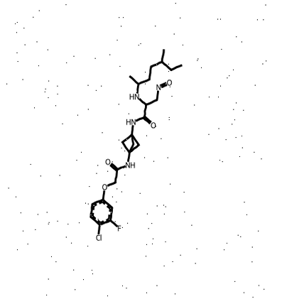 CCC(C)CCC(C)NC(CN=O)C(=O)NC12CC(NC(=O)COc3ccc(Cl)c(F)c3)(C1)C2